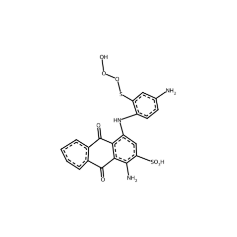 Nc1ccc(Nc2cc(S(=O)(=O)O)c(N)c3c2C(=O)c2ccccc2C3=O)c(SOOO)c1